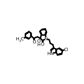 Cc1cccc(C(=O)CC2(O)C(=O)N(CCCc3c[nH]c4ccc(Cl)cc34)c3ccccc32)c1